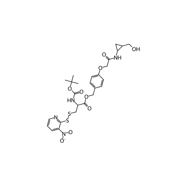 CC(C)(C)OC(=O)NC(CSSc1ncccc1[N+](=O)[O-])C(=O)OCc1ccc(OCC(=O)NC2CC2CO)cc1